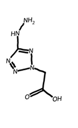 NNc1nnn(CC(=O)O)n1